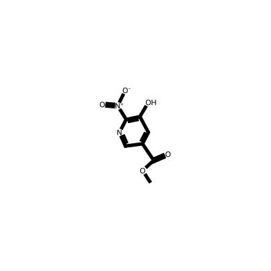 COC(=O)c1cnc([N+](=O)[O-])c(O)c1